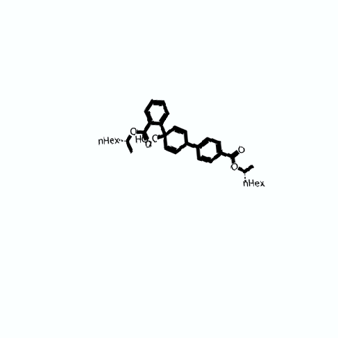 CCCCCC[C@@H](C)OC(=O)c1ccc(C2C=CC(C(=O)O)(c3ccccc3C(=O)O[C@H](C)CCCCCC)C=C2)cc1